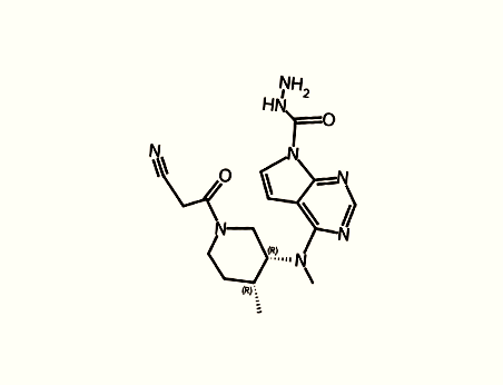 C[C@@H]1CCN(C(=O)CC#N)C[C@@H]1N(C)c1ncnc2c1ccn2C(=O)NN